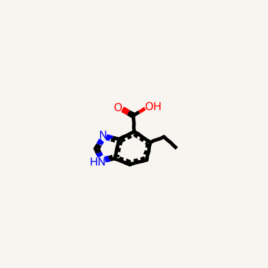 CCc1ccc2[nH]cnc2c1C(=O)O